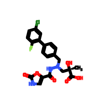 C[C@@](O)(CN(Cc1ccc(-c2cc(Cl)ccc2F)cc1)NC(=O)c1c[nH]c(=O)o1)C(=O)O